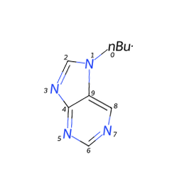 CCC[CH]n1cnc2ncncc21